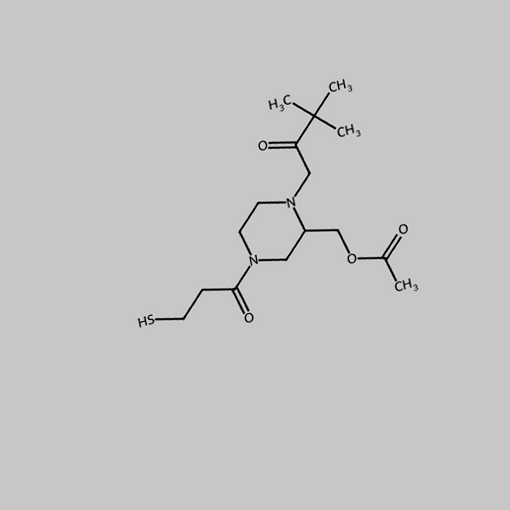 CC(=O)OCC1CN(C(=O)CCS)CCN1CC(=O)C(C)(C)C